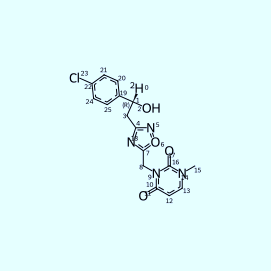 [2H][C@@](O)(Cc1noc(Cn2c(=O)ccn(C)c2=O)n1)c1ccc(Cl)cc1